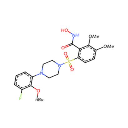 CCCCOc1c(F)cccc1N1CCN(S(=O)(=O)c2ccc(OC)c(OC)c2C(=O)NO)CC1